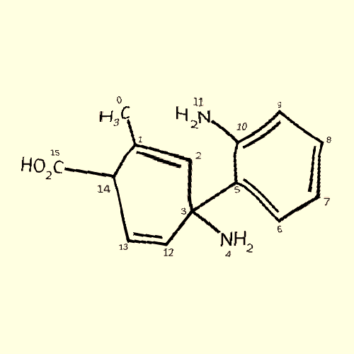 CC1=CC(N)(c2ccccc2N)C=CC1C(=O)O